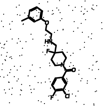 Cc1cccc(OCCNCC2(F)CCN(C(=O)c3ccc(F)c(Cl)c3)CC2)c1